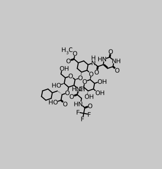 COC(=O)C1CC(NC(=O)c2cc(=O)[nH]c(=O)[nH]2)C(O[C@@H]2OC(C)[C@@H](O)C(O)C2O)[C@H](O[C@@H]2OC(CO)[C@H](O)C(O[C@@H](CC3CCCCC3)C(=O)O)C2NC(=O)CNC(=O)C(F)(F)F)C1